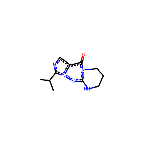 CC(C)c1ncc2c(=O)n3c(nn12)NCCC3